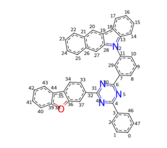 c1ccc(-c2nc(-c3cccc(-n4c5ccccc5c5cc6ccccc6cc54)c3)nc(-c3ccc4c(c3)oc3ccccc34)n2)cc1